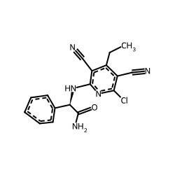 CCc1c(C#N)c(Cl)nc(N[C@@H](C(N)=O)c2ccccc2)c1C#N